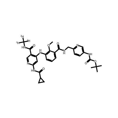 [2H]C([2H])([2H])NC(=O)c1cnc(NC(=O)C2CC2)cc1Nc1cccc(C(=O)NCc2ccc(NC(=O)OC(C)(C)C)cn2)c1OC